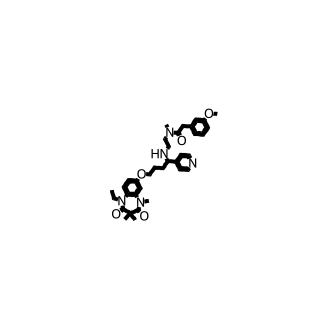 CCN1C(=O)C(C)(C)C(=O)N(C)c2cc(OCCCC(NCCN(C)C(=O)Cc3cccc(OC)c3)c3ccncc3)ccc21